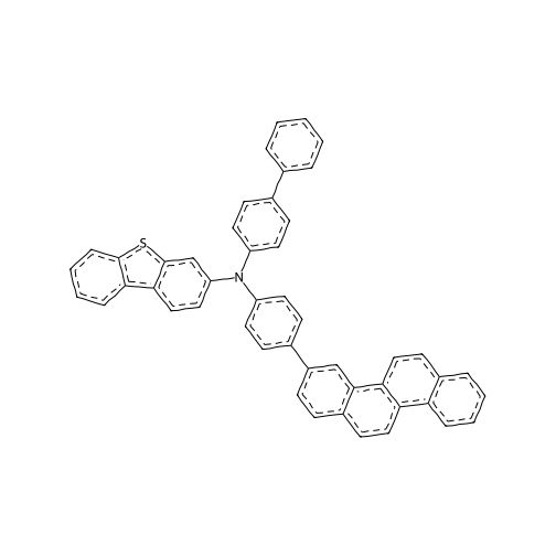 c1ccc(-c2ccc(N(c3ccc(-c4ccc5ccc6c7ccccc7ccc6c5c4)cc3)c3ccc4c(c3)sc3ccccc34)cc2)cc1